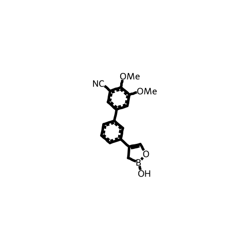 COc1cc(-c2cccc(C3=COB(O)C3)c2)cc(C#N)c1OC